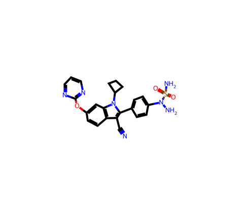 N#Cc1c(-c2ccc(N(N)S(N)(=O)=O)cc2)n(C2CCC2)c2cc(Oc3ncccn3)ccc12